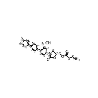 Cl.Cn1nnc(-c2ccc(-c3ccc(N4C[C@H](COC(=O)CCN)OC4=O)cc3F)cn2)n1